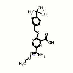 CCO/N=C(\N)c1cnc(SCc2ccc(C(C)(C)C)cc2)c(C(=O)O)n1